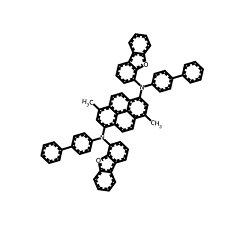 Cc1cc(N(c2ccc(-c3ccccc3)cc2)c2cccc3c2oc2ccccc23)c2ccc3c(C)cc(N(c4ccc(-c5ccccc5)cc4)c4cccc5c4oc4ccccc45)c4ccc1c2c34